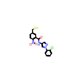 O=C(Nc1cnn(-c2ccccc2Cl)c1)c1cc(CS)ccc1[N+](=O)[O-]